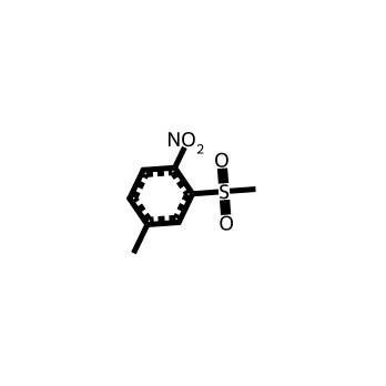 Cc1ccc([N+](=O)[O-])c(S(C)(=O)=O)c1